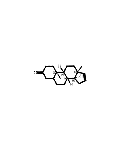 C[C@@]12C=CC[C@H]1[C@@H]1CCC3CC(=O)CC[C@]3(C)[C@@H]1CC2